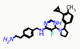 Cc1ccc(C2CCCN2C2NC=NC(NCc3ccc(CCN)cc3)=C2F)cc1C1=CC1